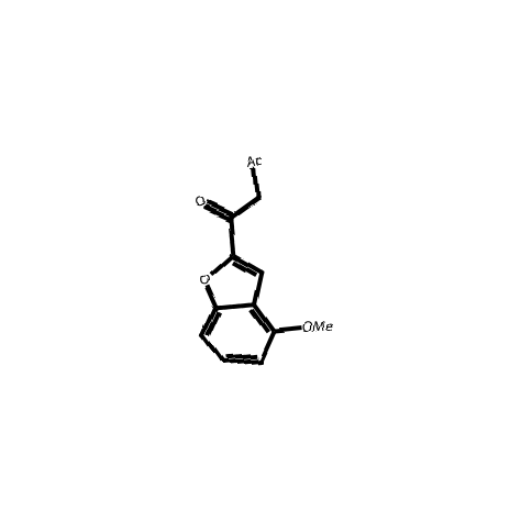 COc1cccc2oc(C(=O)CC(C)=O)cc12